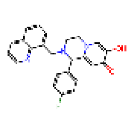 O=c1cc2n(cc1O)CCN(Cc1cccc3cccnc13)C2c1ccc(F)cc1